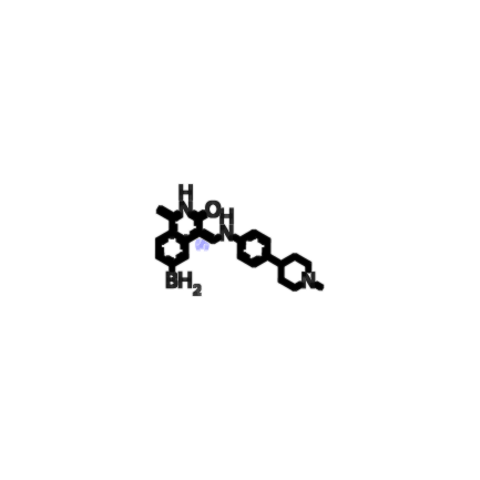 Bc1ccc2c(=C)[nH]c(=O)/c(=C\Nc3ccc(C4CCN(C)CC4)cc3)c2c1